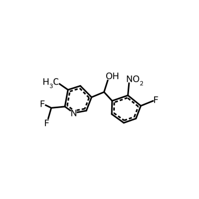 Cc1cc(C(O)c2cccc(F)c2[N+](=O)[O-])cnc1C(F)F